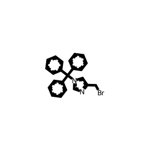 BrCc1cn(C(c2ccccc2)(c2ccccc2)c2ccccc2)cn1